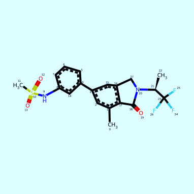 Cc1cc(-c2cccc(NS(C)(=O)=O)c2)cc2c1C(=O)N([C@@H](C)C(F)(F)F)C2